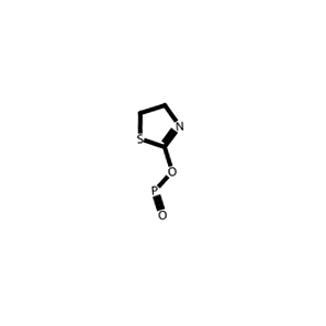 O=POC1=NCCS1